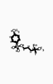 Cc1ccc(S(=O)(=O)OCCCC(F)(F)C(F)(F)F)cc1